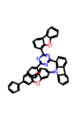 c1ccc(-c2ccc3c(c2)oc2cc(-n4c5ccccc5c5cccc(-c6nc(-c7ccccc7)nc(-c7cccc8c7oc7ccccc78)n6)c54)ccc23)cc1